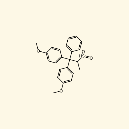 COc1ccc(C(c2ccccc2)(c2ccc(OC)cc2)C(C)[SH](=O)=O)cc1